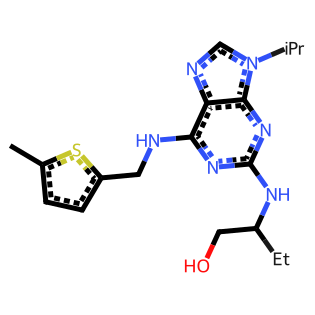 CCC(CO)Nc1nc(NCc2ccc(C)s2)c2ncn(C(C)C)c2n1